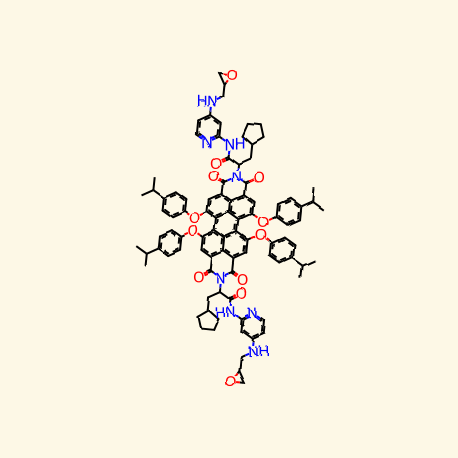 CC(C)c1ccc(Oc2cc3c4c(cc(Oc5ccc(C(C)C)cc5)c5c6c(Oc7ccc(C(C)C)cc7)cc7c8c(cc(Oc9ccc(C(C)C)cc9)c(c2c45)c86)C(=O)N(C(CC2CCCC2)C(=O)Nc2cc(NCC4CO4)ccn2)C7=O)C(=O)N(C(CC2CCCC2)C(=O)Nc2cc(NCC4CO4)ccn2)C3=O)cc1